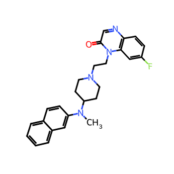 CN(c1ccc2ccccc2c1)C1CCN(CCn2c(=O)cnc3ccc(F)cc32)CC1